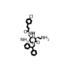 N.NCC[C@@H]1N[C@H](CNC(=O)/C=C/c2ccc(Cl)cc2)CCN(CC(c2ccccc2)c2ccccc2)C1=O